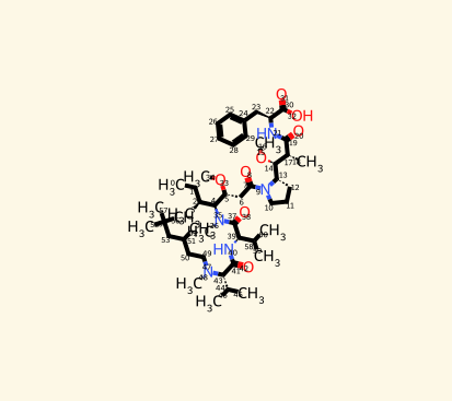 CC[C@H](C)[C@@H]([C@@H](CC(=O)N1CCC[C@H]1[C@H](OC)[C@@H](C)C(=O)N[C@@H](Cc1ccccc1)C(=O)O)OC)N(C)C(=O)[C@@H](NC(=O)[C@H](C(C)C)N(C)CCC(C)CC(C)(C)C)C(C)C